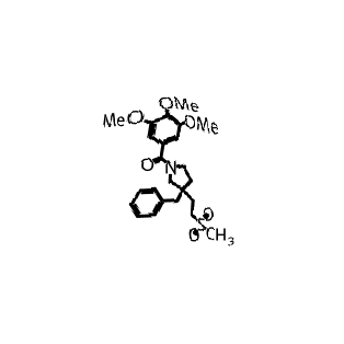 COc1cc(C(=O)N2CCC(CCS(C)(=O)=O)(Cc3ccccc3)C2)cc(OC)c1OC